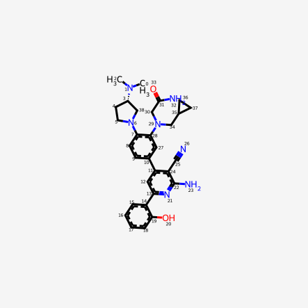 CN(C)[C@H]1CCN(c2ccc(-c3cc(-c4ccccc4O)nc(N)c3C#N)cc2N(CC(N)=O)CC2CC2)C1